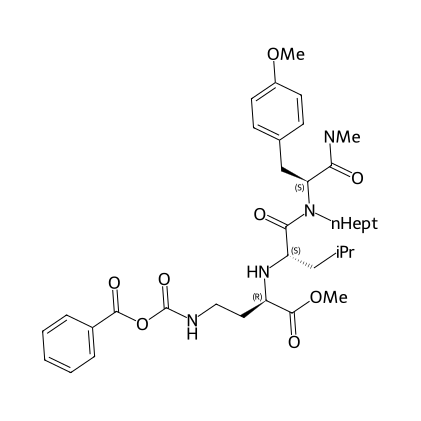 CCCCCCCN(C(=O)[C@H](CC(C)C)N[C@H](CCNC(=O)OC(=O)c1ccccc1)C(=O)OC)[C@@H](Cc1ccc(OC)cc1)C(=O)NC